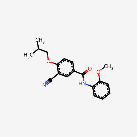 COc1ccccc1NC(=O)c1ccc(OCC(C)C)c(C#N)c1